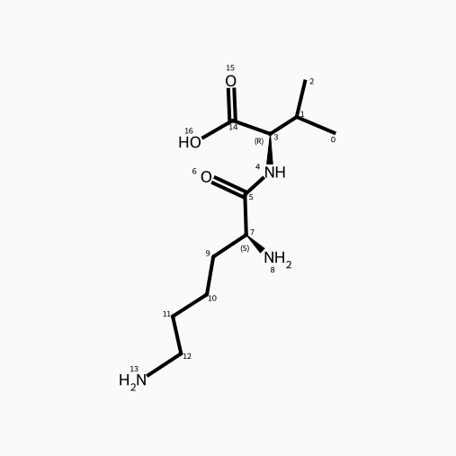 CC(C)[C@@H](NC(=O)[C@@H](N)CCCCN)C(=O)O